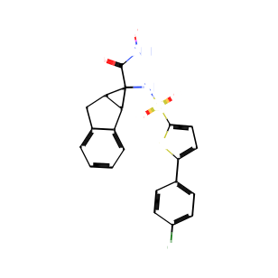 O=C(NO)C1(NS(=O)(=O)c2ccc(-c3ccc(Cl)cc3)s2)C2Cc3ccccc3C21